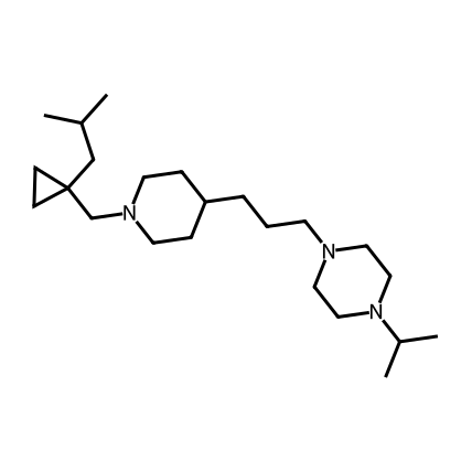 CC(C)CC1(CN2CCC(CCCN3CCN(C(C)C)CC3)CC2)CC1